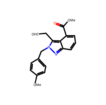 COC(=O)c1cccc2nn(Cc3ccc(OC)cc3)c(CC=O)c12